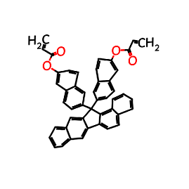 C=CC(=O)Oc1ccc2cc(C3(c4ccc5cc(OC(=O)C=C)ccc5c4)c4cc5ccccc5cc4-c4ccc5ccccc5c43)ccc2c1